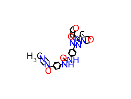 C[C@H]1COCCN1c1nc(OC2CCOC2)nc(-c2ccc(NC(=O)Nc3ccc(C(=O)N4CCN(C)CC4)cc3)cc2)n1